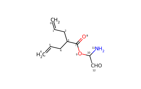 C=CCC(CC=C)C(=O)OC(N)C=O